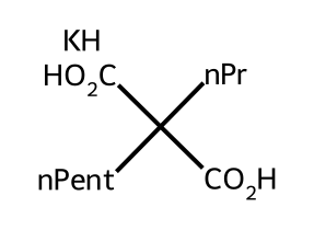 CCCCCC(CCC)(C(=O)O)C(=O)O.[KH]